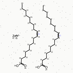 CCCCCCCC/C=C\CCCCCCCC(=O)[O-].CCCCCCCC/C=C\CCCCCCCC(=O)[O-].[O-2].[Zr+4]